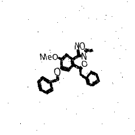 COc1cc(-c2noc(C)n2)c(C(=O)Cc2ccccc2)cc1OCc1ccccc1